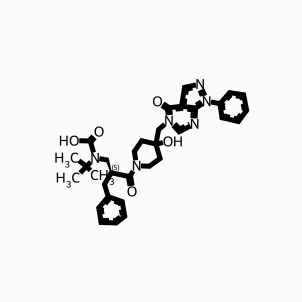 CC(C)(C)N(C[C@H](Cc1ccccc1)C(=O)N1CCC(O)(Cn2cnc3c(cnn3-c3ccccc3)c2=O)CC1)C(=O)O